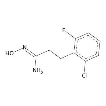 N/C(CCc1c(F)cccc1Cl)=N\O